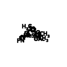 CS[C@H]1C(c2ccc(C)c(Cc3ccc(-c4ccc(F)nc4)s3)c2)O[C@H](C)[C@@H](C)[C@@H]1OC(C)=O